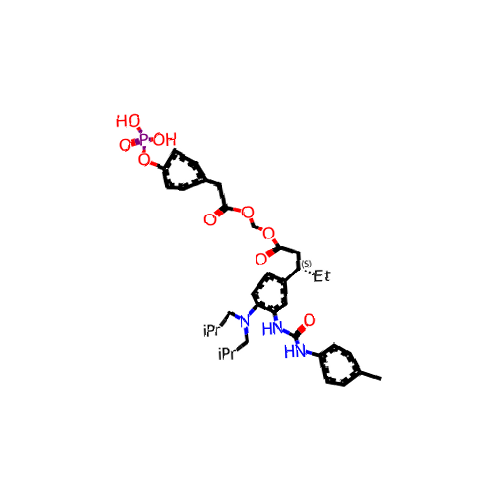 CC[C@@H](CC(=O)OCOC(=O)Cc1ccc(OP(=O)(O)O)cc1)c1ccc(N(CC(C)C)CC(C)C)c(NC(=O)Nc2ccc(C)cc2)c1